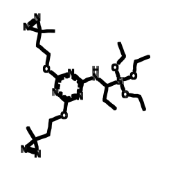 CCO[Si](OCC)(OCC)C(CC)Nc1nc(OCCC2(C)N=N2)nc(OCCC2(C)N=N2)n1